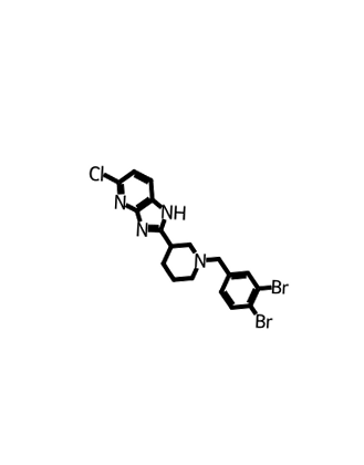 Clc1ccc2[nH]c(C3CCCN(Cc4ccc(Br)c(Br)c4)C3)nc2n1